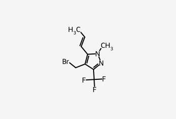 CC=Cc1c(CBr)c(C(F)(F)F)nn1C